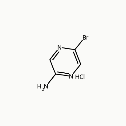 Cl.Nc1cnc(Br)cn1